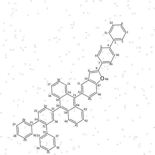 c1ccc(-c2ccc(-c3cc4cc(-c5c6ccccc6c(-c6ccc(-c7ccccc7)c(-c7ccccc7)c6)c6ccccc56)ccc4o3)cc2)cc1